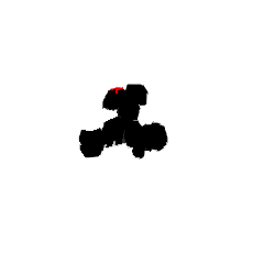 C1=C(N(c2ccc(-c3ccccc3-c3ccccc3)cc2)c2ccc(-c3cccc4ccccc34)cc2)NCc2oc3cc4ccccc4cc3c21